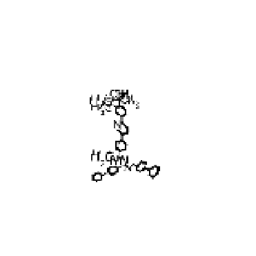 C=N/C(=N\C(=N/Cc1ccc(-c2ccccc2)cc1)c1ccc(-c2ccccc2)cc1)c1ccc(-c2ccc(-c3ccc4c(c3)C(C)(C)C(C)(C)C4(C)C)nc2)cc1